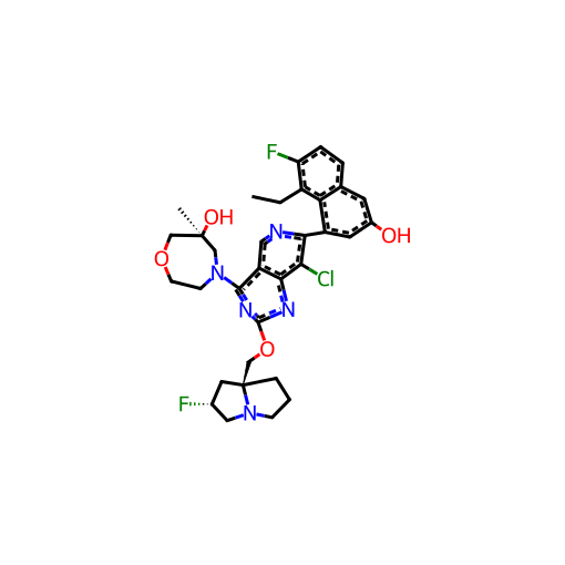 CCc1c(F)ccc2cc(O)cc(-c3ncc4c(N5CCOC[C@@](C)(O)C5)nc(OC[C@@]56CCCN5C[C@H](F)C6)nc4c3Cl)c12